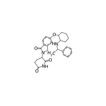 CC(NC1CCCCC1Oc1ccc2c(c1)CN(C1CCC(=O)NC1=O)C2=O)c1ccccc1